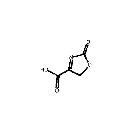 O=C1N=C(C(=O)O)CO1